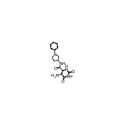 Nc1c(C(=O)NC2CCN(c3ccccc3)C2)[nH]c(=O)[nH]c1=O